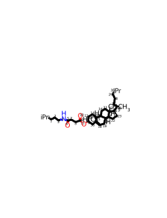 CC(C)CCCNC(=O)CCC(=O)O[C@H]1CC[C@@]2(C)C(=CC[C@H]3[C@@H]4CC[C@H]([C@H](C)CCCC(C)C)[C@@]4(C)CC[C@@H]32)C1